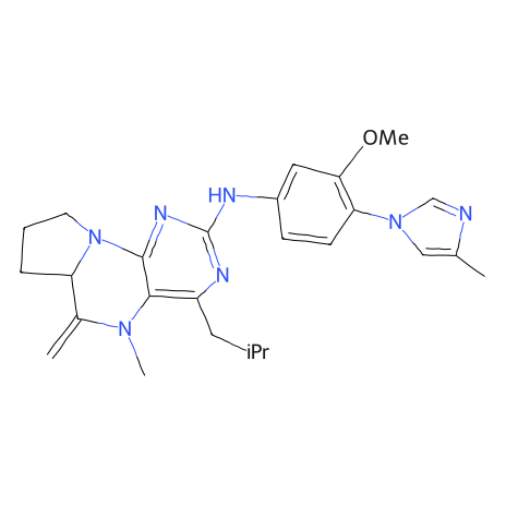 C=C1C2CCCN2c2nc(Nc3ccc(-n4cnc(C)c4)c(OC)c3)nc(CC(C)C)c2N1C